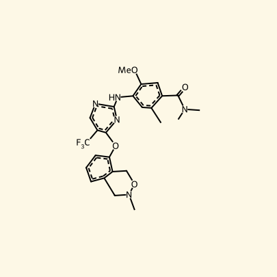 COc1cc(C(=O)N(C)C)c(C)cc1Nc1ncc(C(F)(F)F)c(Oc2cccc3c2CON(C)C3)n1